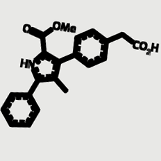 COC(=O)c1[nH]c(-c2ccccc2)c(C)c1-c1ccc(CC(=O)O)cc1